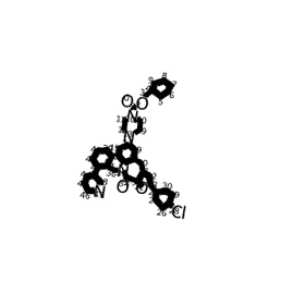 O=C(OCc1ccccc1)N1CCN(c2ccc3c(c2)Cc2cc(-c4ccc(Cl)cc4)oc2C(=O)N3Cc2ccccc2-c2cccnc2)CC1